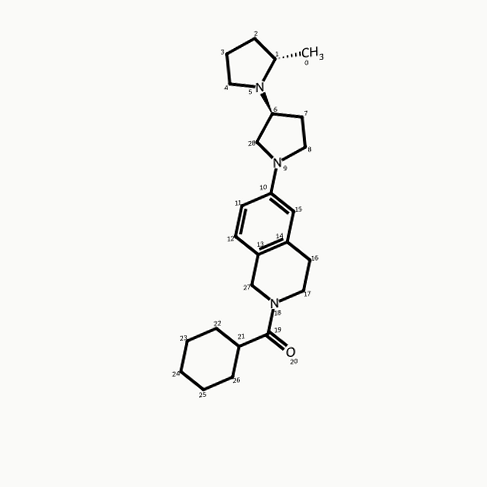 C[C@H]1CCCN1[C@H]1CCN(c2ccc3c(c2)CCN(C(=O)C2CCCCC2)C3)C1